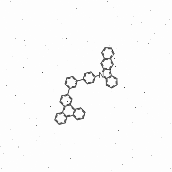 c1cc(-c2ccc(-n3c4ccccc4c4cc5ccccc5cc43)cc2)cc(-c2ccc3c4ccccc4c4ccccc4c3c2)c1